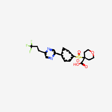 O=C(O)C1(S(=O)(=O)c2ccc(-c3cnc(CCC(F)(F)F)cn3)cc2)CCOCC1